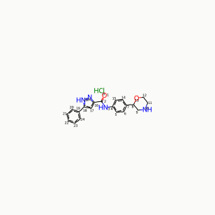 Cl.O=C(Nc1ccc(C2CNCCO2)cc1)c1cc(-c2ccccc2)[nH]n1